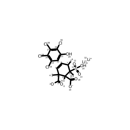 O=C([O-])C1(I)C=CC(I)C(I)(S(=O)(=O)O)C1(I)C(=O)[O-].Oc1cc(Cl)c(Cl)c(Cl)c1Cl.[Li+].[Li+]